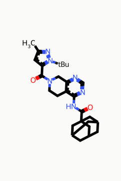 Cc1cc(C(=O)N2CCc3c(ncnc3NC(=O)C34CC5CC(CC(C5)C3)C4)C2)n(C(C)(C)C)n1